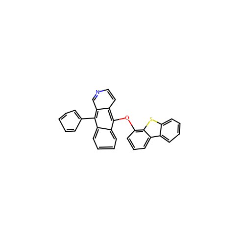 c1ccc(-c2c3ccccc3c(Oc3cccc4c3sc3ccccc34)c3ccncc23)cc1